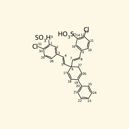 O=S(=O)(O)c1cc(C=CC2(C=Cc3ccc(Cl)c(S(=O)(=O)O)c3)C=CC(c3ccccc3)=CC2)ccc1Cl